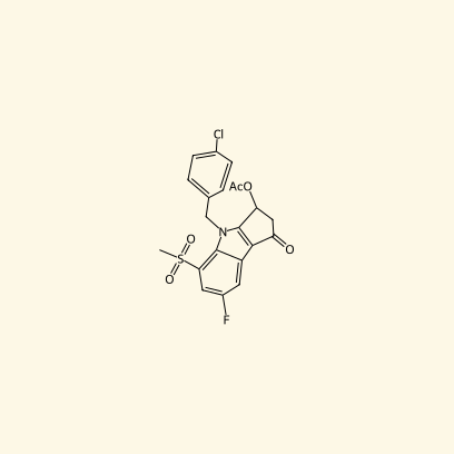 CC(=O)OC1CC(=O)c2c1n(Cc1ccc(Cl)cc1)c1c(S(C)(=O)=O)cc(F)cc21